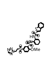 COc1ccc(S(=O)(=O)CCn2ncnn2)cc1S(=O)(=O)NC1=CCCC=C1NS(=O)(=O)c1cc2ccccc2s1